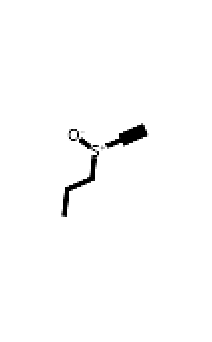 C#C[S+]([O-])CCC